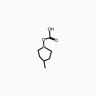 CC1CCN(OC(=O)O)CC1